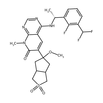 COC1(c2cc3c(N[C@H](C)c4cccc(C(F)F)c4F)ncnc3n(C)c2=O)CC2CS(=O)(=O)CC2C1